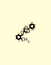 Cc1ccccc1CO[C@H]1CO[C@@H](c2ccccc2)OC1